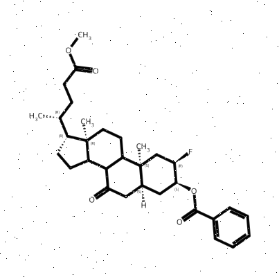 COC(=O)CC[C@@H](C)[C@H]1CCC2C3C(=O)C[C@@H]4C[C@H](OC(=O)c5ccccc5)[C@H](F)C[C@]4(C)C3CC[C@@]21C